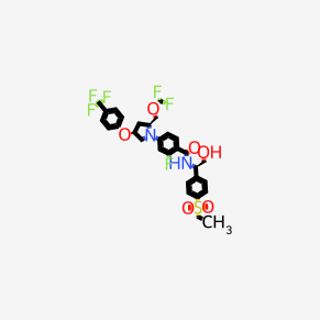 CCS(=O)(=O)c1ccc([C@H](CO)NC(=O)c2ccc(N3C[C@@H](Oc4ccc(C(F)(F)F)cc4)C[C@H]3COC(F)F)cc2F)cc1